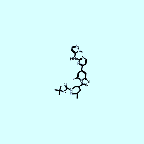 CC(C)CC(CNC(=O)OC(C)(C)C)c1nnc2cc(-c3ccnc(Nc4ccnn4C)n3)cc(F)n12